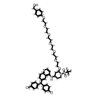 O=S(=O)(N1CCC(Nc2ccnc3ccc(C(c4ccc(Cl)cc4)c4ccc(Cl)cc4)cc23)CC1OCCOCCOCCOCCOCCOCCOc1ccc(CO)cc1)C(F)(F)F